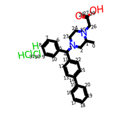 CC1CN(C(c2ccccc2)c2ccc(-c3ccccc3)cc2)CCN1CC(=O)O.Cl.Cl